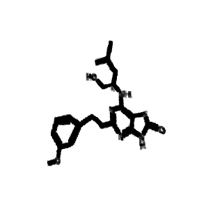 COc1cccc(CCc2nc(N[C@@H](CO)CC(C)C)c3sc(=O)[nH]c3n2)c1